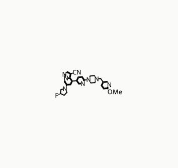 COc1ccc(CN2CCN(c3ccc(-c4cc(N5CC[C@@H](F)C5)cn5ncc(C#N)c45)cn3)CC2)cn1